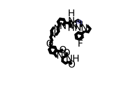 N=C(/C=C\c1ncc(-c2cccc(N3CCN(CCOc4ccc5c(c4)C(=O)N(C4CCC(=O)NC4=O)C5)CC3)n2)[nH]1)N1CCCC1c1cccc(F)c1